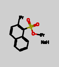 CC(C)OS(=O)(=O)c1c(C(C)C)ccc2ccccc12.[NaH]